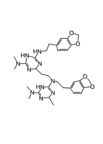 CC1N=C(N(C)C)NC(N(CCc2ccc3c(c2)OCO3)CCC2N=C(NCCc3ccc4c(c3)OCO4)NC(N(C)C)=N2)=N1